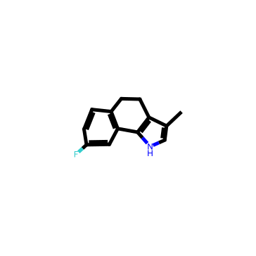 Cc1c[nH]c2c1CCc1ccc(F)cc1-2